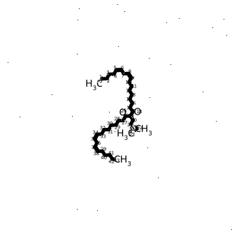 CCCCC/C=C\C/C=C\CCCCCCCC(=O)C(CCN(C)C)C(=O)CCCCCCC/C=C\C/C=C\CCCCC